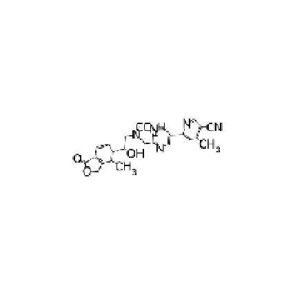 Cc1cc(-c2cnc(CN(C[C@H](O)c3ccc4c(c3C)COC4=O)C(=O)O)nc2)ncc1C#N